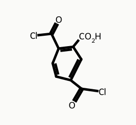 O=C(Cl)c1ccc(C(=O)Cl)c(C(=O)O)c1